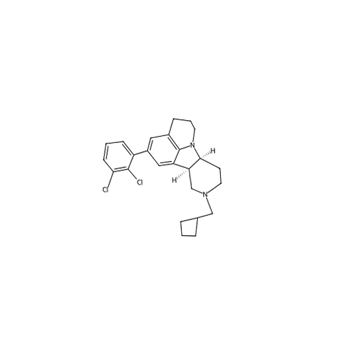 Clc1cccc(-c2cc3c4c(c2)[C@@H]2CN(CC5CCC5)CC[C@@H]2N4CCC3)c1Cl